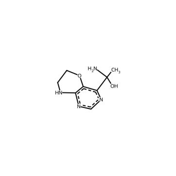 CC(N)(O)c1ncnc2c1OCCN2